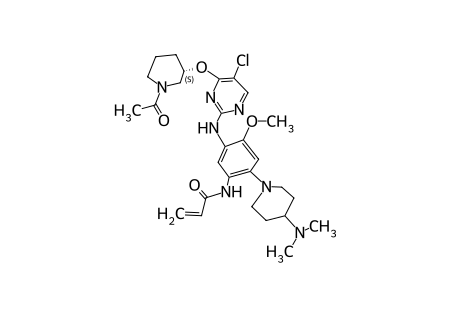 C=CC(=O)Nc1cc(Nc2ncc(Cl)c(O[C@H]3CCCN(C(C)=O)C3)n2)c(OC)cc1N1CCC(N(C)C)CC1